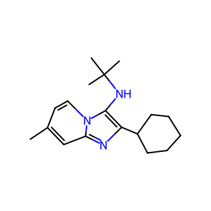 Cc1ccn2c(NC(C)(C)C)c(C3CCCCC3)nc2c1